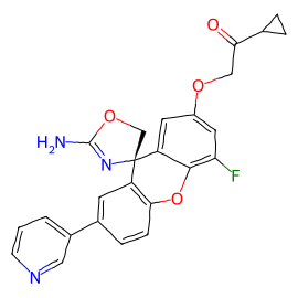 NC1=N[C@@]2(CO1)c1cc(-c3cccnc3)ccc1Oc1c(F)cc(OCC(=O)C3CC3)cc12